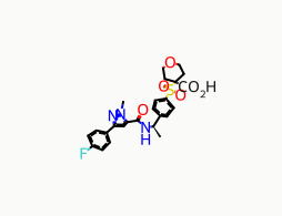 C[C@@H](NC(=O)c1cc(-c2ccc(F)cc2)nn1C)c1ccc(S(=O)(=O)C2(C(=O)O)CCOCC2)cc1